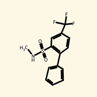 CNS(=O)(=O)c1cc(C(F)(F)F)ccc1-c1ccccc1